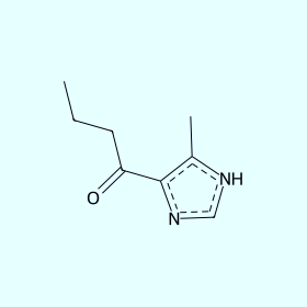 CCCC(=O)c1nc[nH]c1C